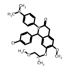 COC[C@@H](C)Oc1cc2c(cc1OC)CC(=O)N(c1ccc(N(C)C)cc1)C2c1ccc(Cl)cc1